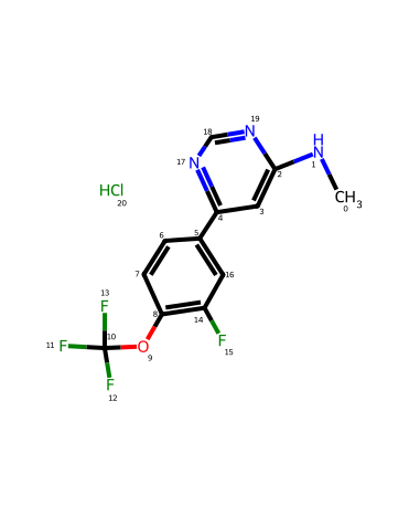 CNc1cc(-c2ccc(OC(F)(F)F)c(F)c2)ncn1.Cl